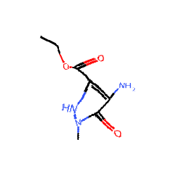 CCOC(=O)c1[nH]n(C)c(=O)c1N